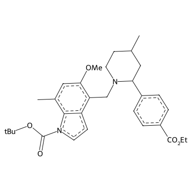 CCOC(=O)c1ccc(C2CC(C)CCN2Cc2c(OC)cc(C)c3c2ccn3C(=O)OC(C)(C)C)cc1